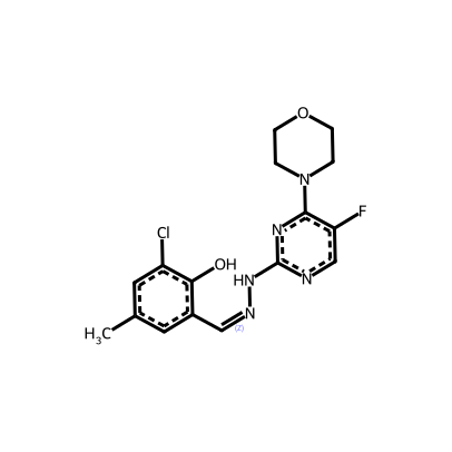 Cc1cc(Cl)c(O)c(/C=N\Nc2ncc(F)c(N3CCOCC3)n2)c1